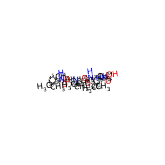 CC1(C)CCCC(C)(CNC(=O)OCCN(CCOC(=O)NC2CC(C)(C)CC(C)(CNC(=O)O)C2)C(C)(C)C)C1